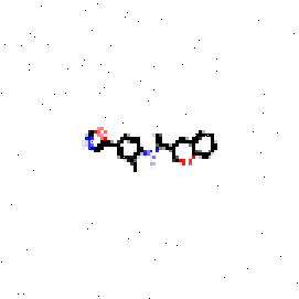 C=C(Nc1ccc(-c2cnco2)cc1C)C1COC2=CCCC=C2C1